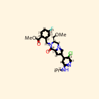 COC[C@H]1Cn2cc(-c3cc(NC(C)C)ncc3Cl)cc2C(=O)N1Cc1cc(F)ccc1C(=O)OC